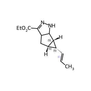 C/C=C/[C@@H]1[C@@H]2CC3C(C(=O)OCC)=NNC3[C@H]12